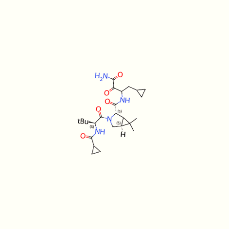 CC(C)(C)[C@H](NC(=O)C1CC1)C(=O)N1C[C@H]2C([C@H]1C(=O)NC(CC1CC1)C(=O)C(N)=O)C2(C)C